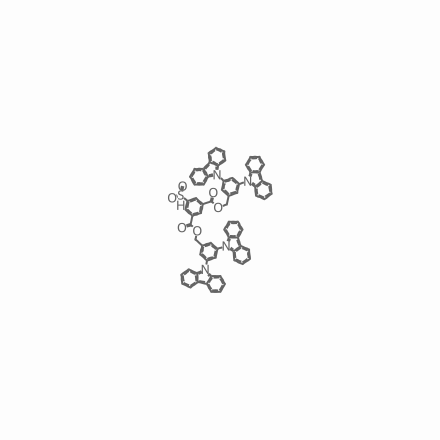 O=C(OCc1cc(-n2c3ccccc3c3ccccc32)cc(-n2c3ccccc3c3ccccc32)c1)c1cc(C(=O)OCc2cc(-n3c4ccccc4c4ccccc43)cc(-n3c4ccccc4c4ccccc43)c2)cc([SH](=O)=O)c1